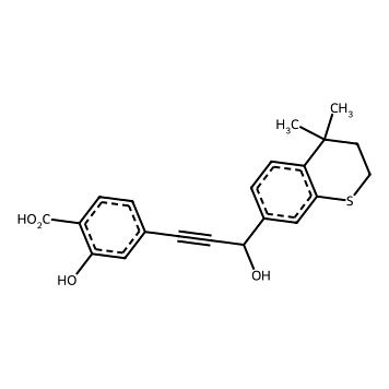 CC1(C)CCSc2cc(C(O)C#Cc3ccc(C(=O)O)c(O)c3)ccc21